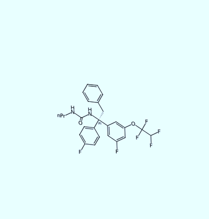 CCCNC(=O)N[C@](Cc1ccccc1)(c1ccc(F)cc1)c1cc(F)cc(OC(F)(F)C(F)F)c1